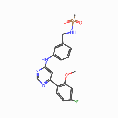 COc1cc(F)ccc1-c1cc(Nc2cccc(CNS(C)(=O)=O)c2)ncn1